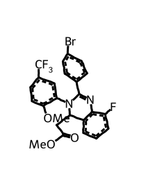 COC(=O)CC1c2cccc(F)c2N=C(c2ccc(Br)cc2)N1c1cc(C(F)(F)F)ccc1OC